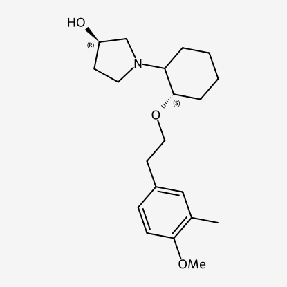 COc1ccc(CCO[C@H]2CCCCC2N2CC[C@@H](O)C2)cc1C